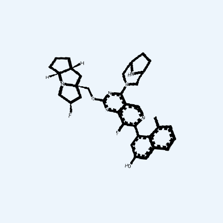 Cc1cccc2cc(O)cc(-c3ncc4c(N5CC6CCC(C5)N6)nc(OC[C@@]56C[C@@H](F)CN5[C@@H]5CCC[C@@H]5C6)nc4c3F)c12